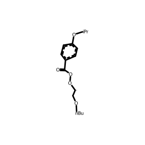 CCCCOC[CH]OOC(=O)c1ccc(OC(C)C)cc1